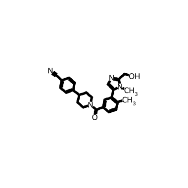 Cc1ccc(C(=O)N2CCC(c3ccc(C#N)cc3)CC2)cc1-c1cnc(CO)n1C